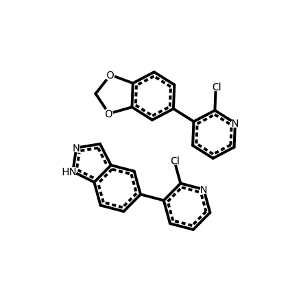 Clc1ncccc1-c1ccc2[nH]ncc2c1.Clc1ncccc1-c1ccc2c(c1)OCO2